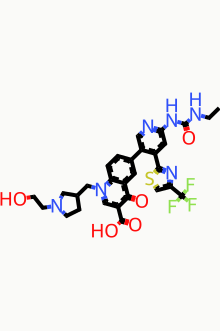 CCNC(=O)Nc1cc(-c2nc(C(F)(F)F)cs2)c(-c2ccc3c(c2)c(=O)c(C(=O)O)cn3CC2CCN(CCO)C2)cn1